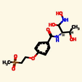 C[C@@H](O)[C@H](NC(=O)c1ccc(OCCS(C)(=O)=O)cc1)C(O)NO